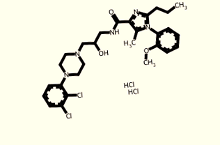 CCCc1nc(C(=O)NCC(O)CN2CCN(c3cccc(Cl)c3Cl)CC2)c(C)n1-c1ccccc1OC.Cl.Cl